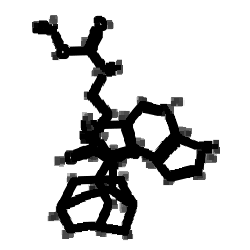 CC(C)(C)OC(=O)NCCNC(=O)C12CC3CC(C1)C(n1c(=O)[nH]c4cnc5[nH]ccc5c41)C(C3)C2